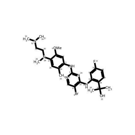 COc1cc(Nc2ncc(Br)c(Nc3cc(F)ccc3C(C)(C)O)n2)c(C)cc1N(C)CCN(C)C